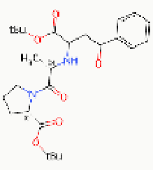 C[C@H](NC(CC(=O)c1ccccc1)C(=O)OC(C)(C)C)C(=O)N1CCC[C@H]1C(=O)OC(C)(C)C